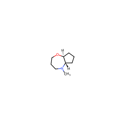 CN1CCCO[C@H]2CCC[C@@H]21